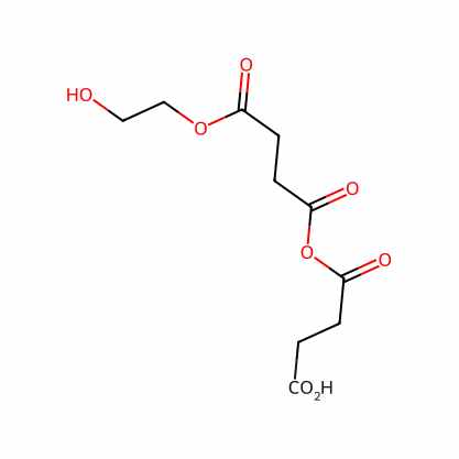 O=C(O)CCC(=O)OC(=O)CCC(=O)OCCO